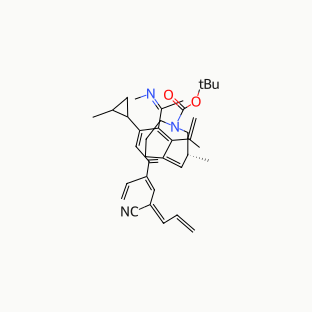 C=C/C=C(C#N)\C=C(/C=C)C(=C)\C=C(C(/C(C)=N\C)=C(C(=C)C)\C1=C/[C@@H](C)CN(C(=O)OC(C)(C)C)CCC1)\C1CC1C